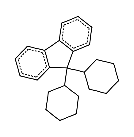 c1ccc2c(c1)-c1ccccc1C2(C1CCCCC1)C1CCCCC1